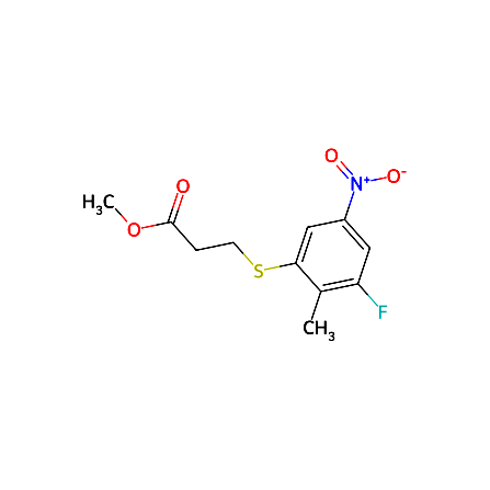 COC(=O)CCSc1cc([N+](=O)[O-])cc(F)c1C